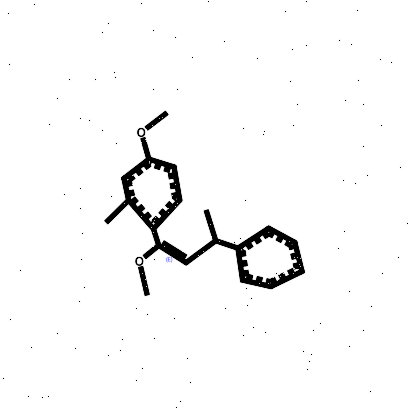 CO/C(=C/C(C)c1ccccc1)c1ccc(OC)cc1C